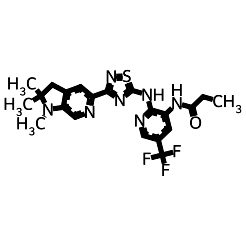 CCC(=O)Nc1cc(C(F)(F)F)cnc1Nc1nc(-c2cc3c(cn2)N(C)C(C)(C)C3)ns1